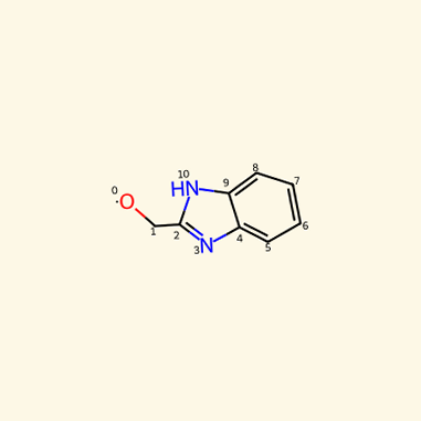 [O]Cc1nc2ccccc2[nH]1